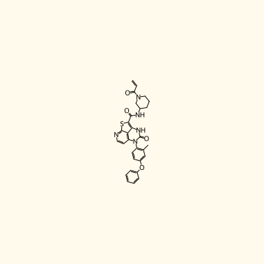 C=CC(=O)N1CCCC(NC(=O)c2sc3nccc4c3c2NC(=O)N4c2ccc(Oc3ccccc3)cc2C)C1